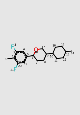 Cc1c(F)cc(C2CCC(C3CCC(C)CC3)CO2)cc1F